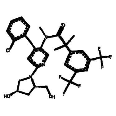 CN(C(=O)C(C)(C)c1cc(C(F)(F)F)cc(C(F)(F)F)c1)c1cnc(N2C[C@H](O)C[C@@H]2CO)cc1-c1ccccc1Cl